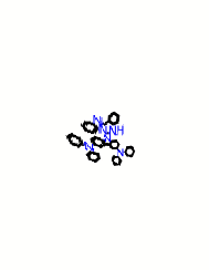 c1ccc(N(c2ccccc2)c2ccc3c(c2)c2cc(N(c4ccccc4)c4ccccc4)ccc2n3C2Nc3ccccc3-c3nc4ccccc4n32)cc1